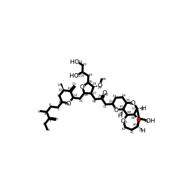 C=C(CC)C(C)CCC1C[C@@H](C)C(=C)C(CC2OC(CC(O)CO)[C@H](OC)C2CC(=O)CC2CCC3O[C@@H]4C5O[C@H](CCOC5[C@H]3O2)C4O)O1